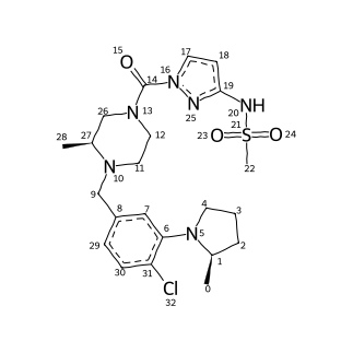 C[C@@H]1CCCN1c1cc(CN2CCN(C(=O)n3ccc(NS(C)(=O)=O)n3)C[C@@H]2C)ccc1Cl